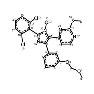 COCOc1cccc(-c2nc(-c3c(Cl)cccc3Cl)n(O)c2-c2ccnc(SC)n2)c1